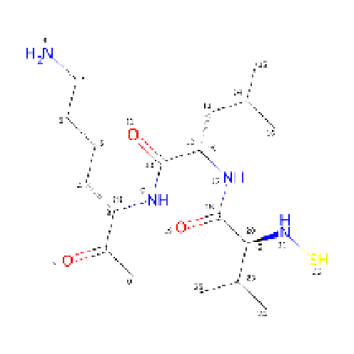 CC(=O)[C@H](CCCCN)NC(=O)[C@H](CC(C)C)NC(=O)[C@@H](NS)C(C)C